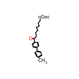 CCCCCCCCCCCCCCCCCC(=O)c1ccc(-c2ccc(C)cc2)cc1